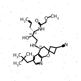 C=CC[C@H](NC(=O)COC)[C@H](O)CN[C@H]1CC2(CC(C#N)C2)Oc2ncc(CC(C)(C)C)cc21